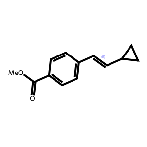 COC(=O)c1ccc(/C=C/C2CC2)cc1